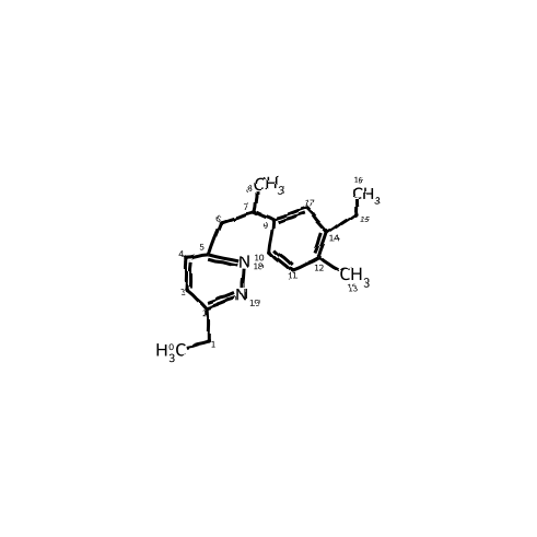 CCc1ccc(CC(C)c2ccc(C)c(CC)c2)nn1